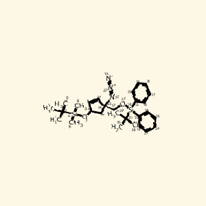 CC(C)(C)[Si](C)(C)OC1C=C[C@](CO[Si](c2ccccc2)(c2ccccc2)C(C)(C)C)(N=[N+]=[N-])C1